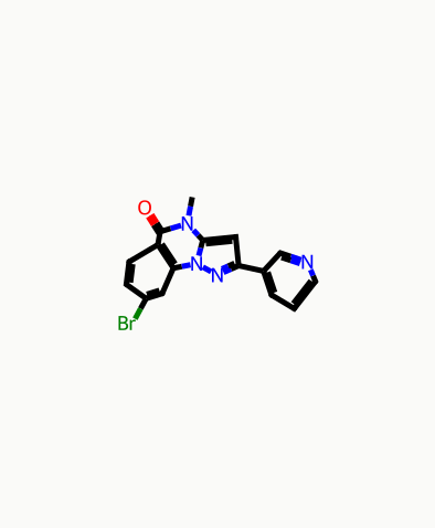 Cn1c(=O)c2ccc(Br)cc2n2nc(-c3cccnc3)cc12